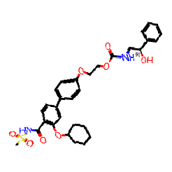 CS(=O)(=O)NC(=O)c1ccc(-c2ccc(OCCOC(=O)NC[C@H](O)c3ccccc3)cc2)cc1OC1CCCCC1